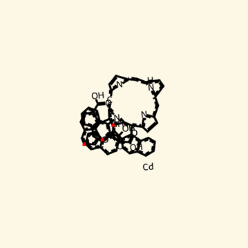 O=C(O)c1ccc2ccccc2c1-c1c(-c2c(C(=O)O)ccc3ccccc23)c2c(-c3c(C(=O)O)ccc4ccccc34)c3nc(cc4ccc(cc5nc(cc1n2-c1c(C(=O)O)ccc2ccccc12)C=C5)[nH]4)C=C3.[Cd]